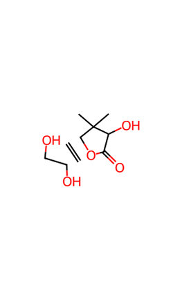 C=C.CC1(C)COC(=O)C1O.OCCO